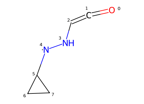 O=C=CN[N]C1CC1